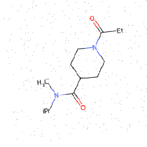 CCC(=O)N1CCC(C(=O)N(C)C(C)C)CC1